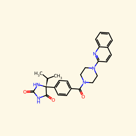 CC(C)[C@]1(c2ccc(C(=O)N3CCN(c4ccc5ccccc5n4)CC3)cc2)NC(=O)NC1=O